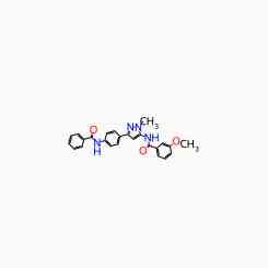 COc1cccc(C(=O)Nc2cc(-c3ccc(NC(=O)c4ccccc4)cc3)nn2C)c1